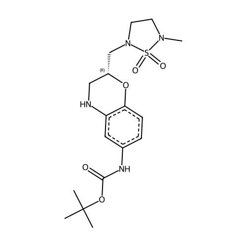 CN1CCN(C[C@H]2CNc3cc(NC(=O)OC(C)(C)C)ccc3O2)S1(=O)=O